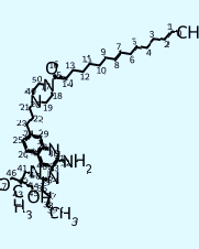 CCCCCCCCCCCCCCCC(=O)N1CCN(CCCc2ccc3c(c2)nc(N)c2nc(CCCC)n(CC(C)(CO)CO)c23)CC1